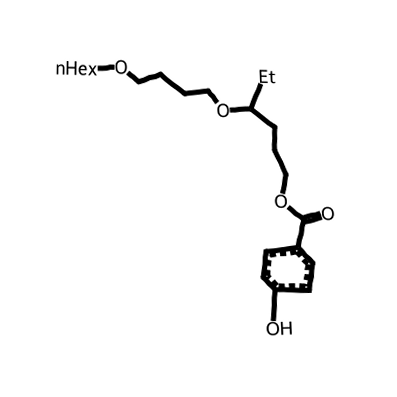 CCCCCCOCCCCOC(CC)CCCOC(=O)c1ccc(O)cc1